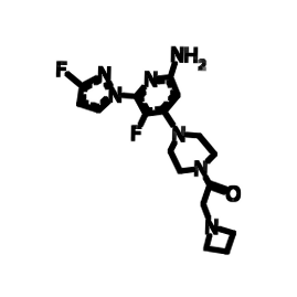 Nc1cc(N2CCN(C(=O)CN3CCC3)CC2)c(F)c(-n2ccc(F)n2)n1